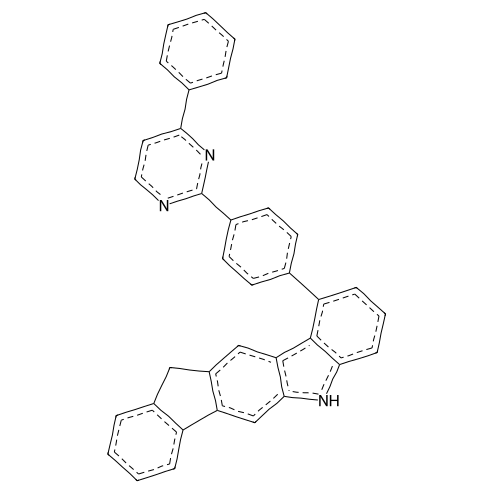 c1ccc(-c2ccnc(-c3ccc(-c4cccc5[nH]c6cc7c(cc6c45)Cc4ccccc4-7)cc3)n2)cc1